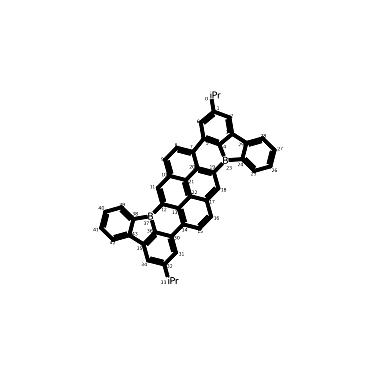 CC(C)c1cc2c3c(c1)-c1ccc4cc5c6c(ccc7cc(c1c4c76)B3c1ccccc1-2)-c1cc(C(C)C)cc2c1B5c1ccccc1-2